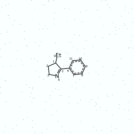 CCC1CCN=C1c1ccccc1